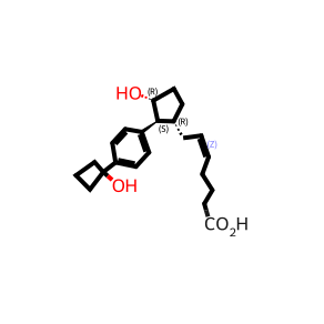 O=C(O)CCC/C=C\C[C@H]1CC[C@@H](O)[C@@H]1c1ccc(C2(O)CCC2)cc1